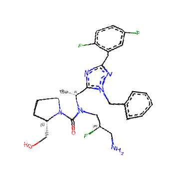 CC(C)(C)[C@H](c1nc(-c2cc(F)ccc2F)nn1Cc1ccccc1)N(C[C@H](F)CN)C(=O)N1CCC[C@H]1CO